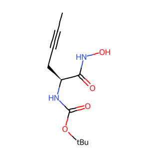 CC#CC[C@H](NC(=O)OC(C)(C)C)C(=O)NO